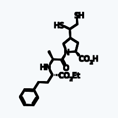 CCOC(=O)[C@H](CCc1ccccc1)N[C@@H](C)C(=O)N1CC(C(S)CS)C[C@H]1C(=O)O